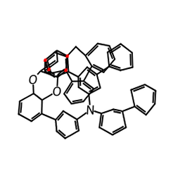 C1=CC2OC3=CC4C5=C(CCC=C5)C5c6ccccc6-c6ccccc6CC45C=C3OC2C(c2cccc(N(c3cccc(-c4ccccc4)c3)c3cc(-c4ccccc4)cc(-c4ccccc4)c3)c2)=C1